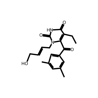 CCc1c(C(=O)c2cc(C)cc(C)c2)n(C/C=C/CO)c(=O)[nH]c1=O